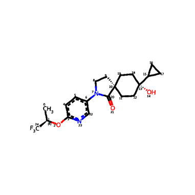 C[C@@H](Oc1ccc(N2CC[C@]3(CC[C@](O)(C4CC4)CC3)C2=O)cn1)C(F)(F)F